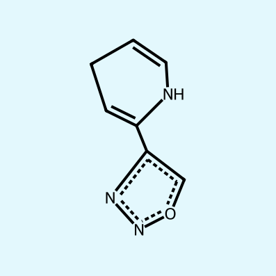 C1=CNC(c2conn2)=CC1